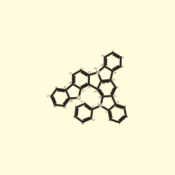 c1ccc(-n2c3ccccc3c3cc4c5ccccc5n5c6ccc7c8ccccc8oc7c6c(c32)c45)cc1